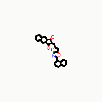 O=C1C(=Cc2cc3oc(-c4cccc5ccccc45)nc3o2)C(=O)c2cc3ccccc3cc21